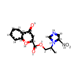 CC(COC(=O)c1cc(=O)c2ccccc2o1)n1cncc1[N+](=O)[O-]